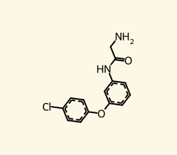 NCC(=O)Nc1cccc(Oc2ccc(Cl)cc2)c1